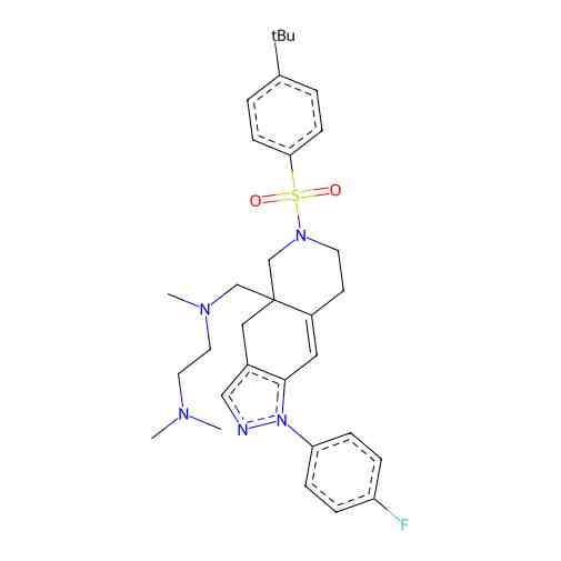 CN(C)CCN(C)CC12Cc3cnn(-c4ccc(F)cc4)c3C=C1CCN(S(=O)(=O)c1ccc(C(C)(C)C)cc1)C2